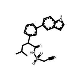 CC(C)CC(C(=O)NS(=O)(=O)CC#N)c1cccc(-c2ccc3[nH]ccc3c2)c1